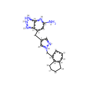 Nc1cc(Cc2cnn(Cc3cccc4c3CCCC4)c2)c2nn[nH]c2n1